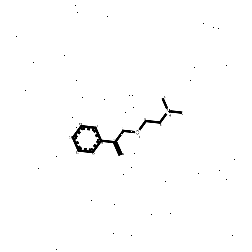 C=C(COCCN(C)C)c1ccccc1